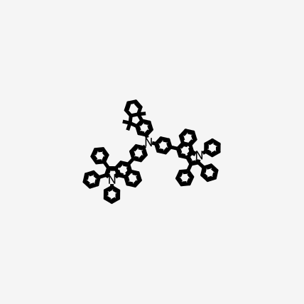 CC1(C)c2cc(N(c3ccc(-c4cc5c(-c6ccccc6)c(-c6ccccc6)n(-c6ccccc6)c5c5ccccc45)cc3)c3ccc(-c4cc5c(-c6ccccc6)c(-c6ccccc6)n(-c6ccccc6)c5c5ccccc45)cc3)ccc2C2(C)C=CC=CC12